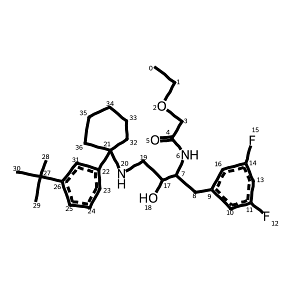 CCOCC(=O)NC(Cc1cc(F)cc(F)c1)C(O)CNC1(c2cccc(C(C)(C)C)c2)CCCCC1